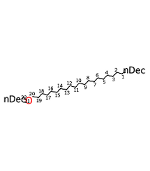 CCCCCCCCCCCCCCCCCCCCCCCCCCCCCCOCCCCCCCCCC